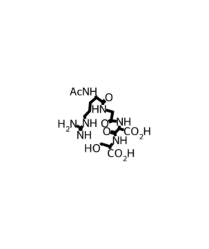 CC(=O)NC(CCCNC(=N)N)C(=O)NCC(=O)NC(C(=O)O)C(=O)NC(CO)C(=O)O